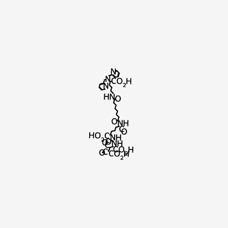 O=C=C(CCCC(NC(=O)NC(C(=O)O)C(=C=O)C(=C=O)C(=O)O)C(=O)O)NC(=O)CCCCCCC(=O)NCCCCC(C(=O)O)N(Cc1ccccn1)Cc1ccccn1